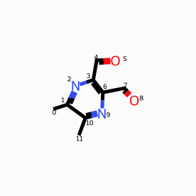 Cc1nc(C=O)c(C=O)nc1C